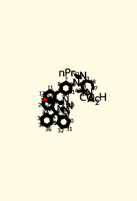 CCCc1nc2c(n1-c1ccc(-c3ccccc3-c3nnnn3C(c3ccccc3)(c3ccccc3)c3ccccc3)cc1)C(C)(C(=O)O)N(C(C)=O)CC2